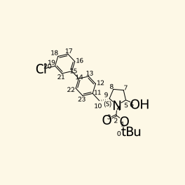 CC(C)(C)OC(=O)N1C(O)CC[C@H]1Cc1ccc(-c2cccc(Cl)c2)cc1